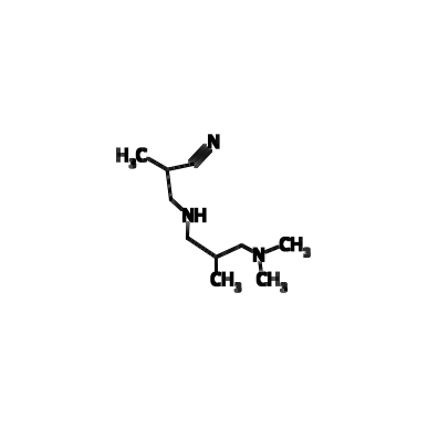 CC(C#N)CNCC(C)CN(C)C